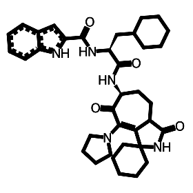 O=C(N[C@@H](CC1CCCCC1)C(=O)N[C@H]1CCC2C(=O)NC3(CCCCC3)C2=C(N2CCCC2)C1=O)c1cc2ccccc2[nH]1